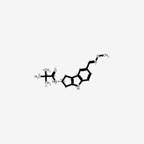 CON=Cc1ccc2[nH]c3c(c2c1)C[C@@H](NC(=O)C(C)(C)C)C3